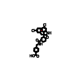 O=C(O)c1ccc(CNC(=O)N2CCCC(C3(Cc4cccc(Cl)c4)C(=O)Nc4cc(Cl)ccc43)C2)cc1